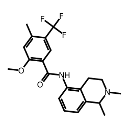 COc1cc(C)c(C(F)(F)F)cc1C(=O)Nc1cccc2c1CCN(C)C2C